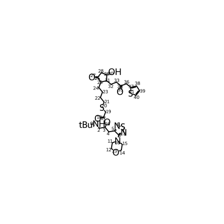 CC(C)(C)NCC(Cc1nsnc1N1CCOCC1)OC(=O)CSCCCCC1C(=O)C[C@@H](O)C1CCC(=O)Cc1cccs1